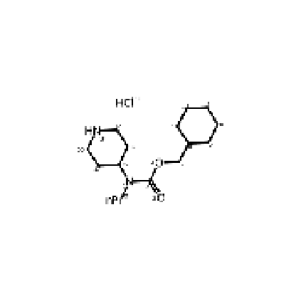 CCCN(C(=O)OCC1CCCCC1)C1CCNCC1.Cl